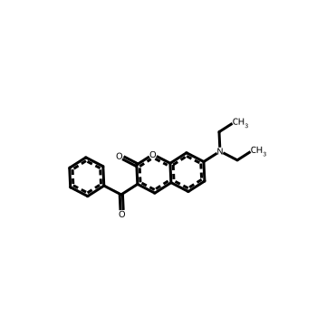 CCN(CC)c1ccc2cc(C(=O)c3ccccc3)c(=O)oc2c1